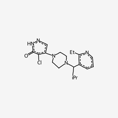 CCc1ncccc1C(C(C)C)N1CCN(c2cn[nH]c(=O)c2Cl)CC1